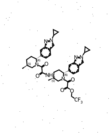 C[C@H]1CC[C@H](c2ccc3cn(C4CC4)nc3c2)N(C(=O)C(=O)OCC(F)(F)F)C1.C[C@H]1CC[C@H](c2ccc3cn(C4CC4)nc3c2)N(C(=O)C(N)=O)C1